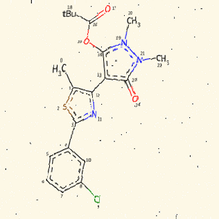 Cc1sc(-c2cccc(Cl)c2)nc1-c1c(OC(=O)C(C)(C)C)n(C)n(C)c1=O